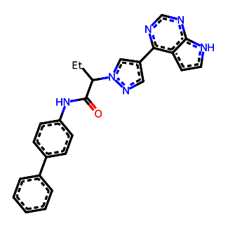 CCC(C(=O)Nc1ccc(-c2ccccc2)cc1)n1cc(-c2ncnc3[nH]ccc23)cn1